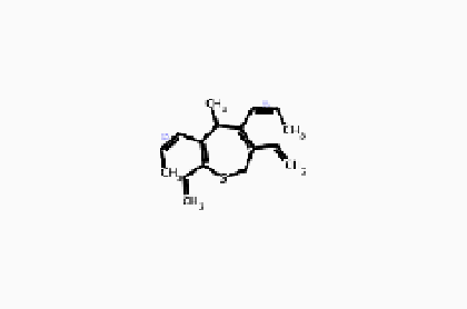 C=CC1=C(/C=C\C)C(C)C(/C=C\C)=C(C=C)SC1